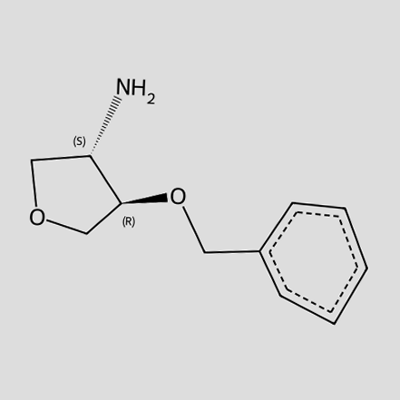 N[C@H]1COC[C@@H]1OCc1ccccc1